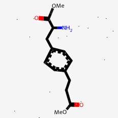 COC(=O)CCc1ccc(CC(N)C(=O)OC)cc1